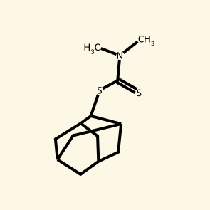 CN(C)C(=S)SC1C2CC3CC(C2)CC1C3